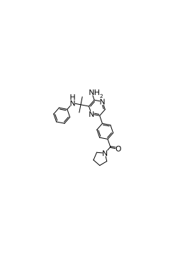 CC(C)(Nc1ccccc1)c1nc(-c2ccc(C(=O)N3CCCC3)cc2)cnc1N